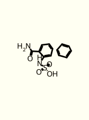 NC(=O)c1ccccc1NS(=O)(=O)O.c1ccccc1